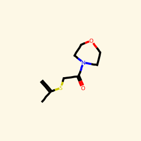 C=C(C)SCC(=O)N1CCOCC1